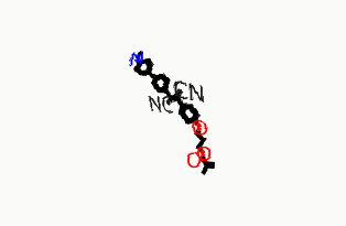 C=C(C)C(=O)OCCCOc1ccc(/C(C#N)=C(\C#N)c2ccc(-c3ccc(N(C)C)cc3)cc2)cc1